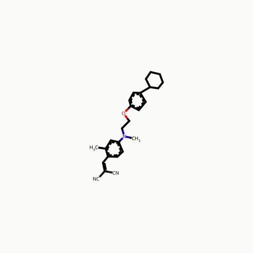 Cc1cc(N(C)CCOc2ccc(C3CCCCC3)cc2)ccc1C=C(C#N)C#N